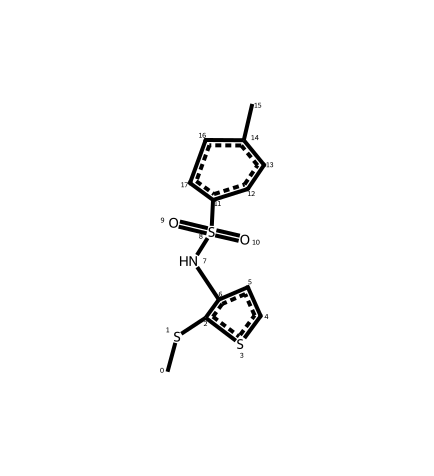 CSc1sccc1NS(=O)(=O)c1ccc(C)cc1